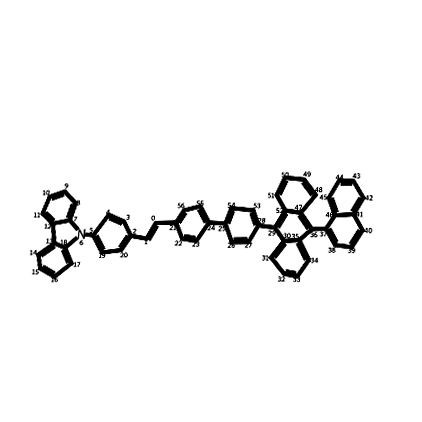 C(=C\c1ccc(-n2c3ccccc3c3ccccc32)cc1)/c1ccc(-c2ccc(-c3c4ccccc4c(-c4cccc5ccccc45)c4ccccc34)cc2)cc1